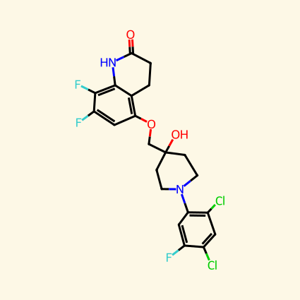 O=C1CCc2c(OCC3(O)CCN(c4cc(F)c(Cl)cc4Cl)CC3)cc(F)c(F)c2N1